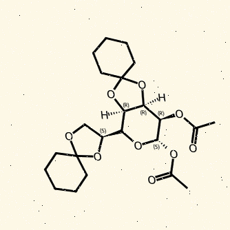 CC(=O)O[C@@H]1OC([C@@H]2COC3(CCCCC3)O2)[C@H]2OC3(CCCCC3)O[C@H]2[C@H]1OC(C)=O